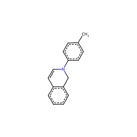 Cc1ccc(N2C=Cc3ccccc3C2)cc1